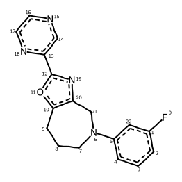 Fc1cccc(N2CCCc3oc(-c4cnccn4)nc3C2)c1